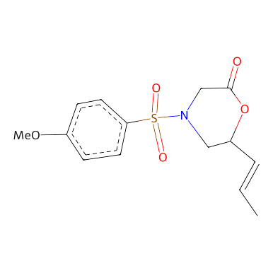 C/C=C/C1CN(S(=O)(=O)c2ccc(OC)cc2)CC(=O)O1